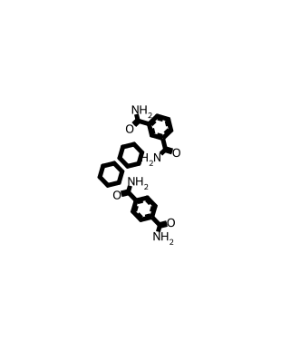 C1CCCCC1.C1CCCCC1.NC(=O)c1ccc(C(N)=O)cc1.NC(=O)c1cccc(C(N)=O)c1